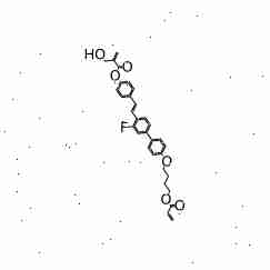 C=CC(=O)OCCCCOc1ccc(-c2ccc(/C=C/c3ccc(OC(=O)C(=C)CO)cc3)c(F)c2)cc1